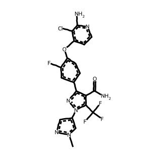 Cn1cc(-n2nc(-c3ccc(Oc4ccnc(N)c4Cl)c(F)c3)c(C(N)=O)c2C(F)(F)F)cn1